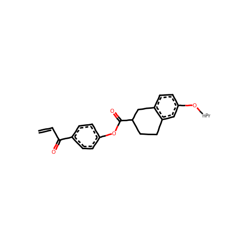 C=CC(=O)c1ccc(OC(=O)C2CCc3cc(OCCC)ccc3C2)cc1